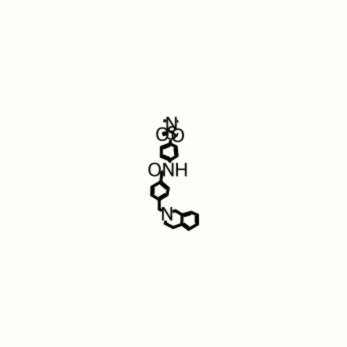 CN(C)S(=O)(=O)c1ccc(NC(=O)c2ccc(CN3CCc4ccccc4C3)cc2)cc1